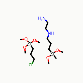 CO[Si](C)(CCCNCCN)OC.CO[Si](CCCCl)(OC)OC